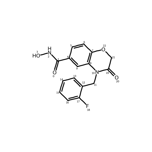 O=C(NO)c1ccc2c(c1)N(Cc1ccccc1F)C(=O)CO2